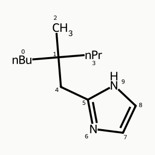 CCCCC(C)(CCC)Cc1ncc[nH]1